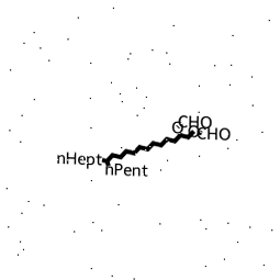 CCCCCCCC(CCCCC)CCCCCCCCCCC(COC=O)OC=O